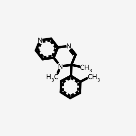 Cc1ccccc1C1(C)C=Nc2cnccc2N1C